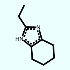 CCc1nc2c([nH]1)CCCC2